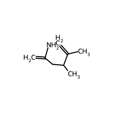 C=C(N)CC(C)C(=C)C